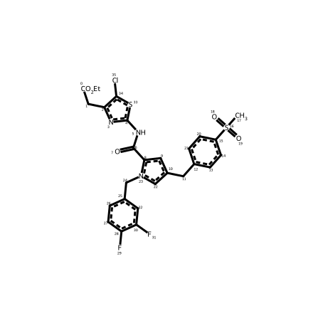 CCOC(=O)Cc1nc(NC(=O)c2cc(Cc3ccc(S(C)(=O)=O)cc3)cn2Cc2ccc(F)c(F)c2)sc1Cl